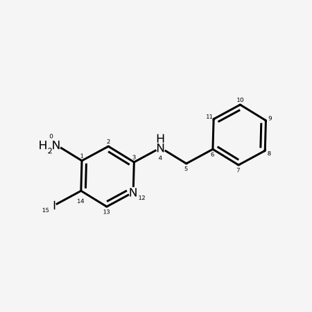 Nc1cc(NCc2ccccc2)ncc1I